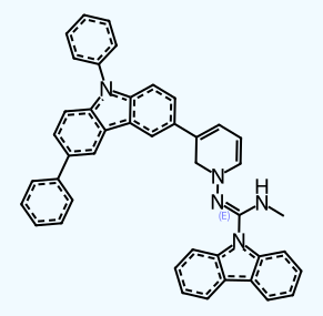 CN/C(=N\N1C=CC=C(c2ccc3c(c2)c2cc(-c4ccccc4)ccc2n3-c2ccccc2)C1)n1c2ccccc2c2ccccc21